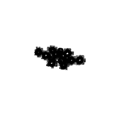 Cc1ccccc1N(c1ccc(-c2ccccc2)cc1)c1cc2c3cc(N(c4ccc(-c5ccccc5)cc4)c4ccccc4C)c4ccccc4c3oc2c2ccccc12